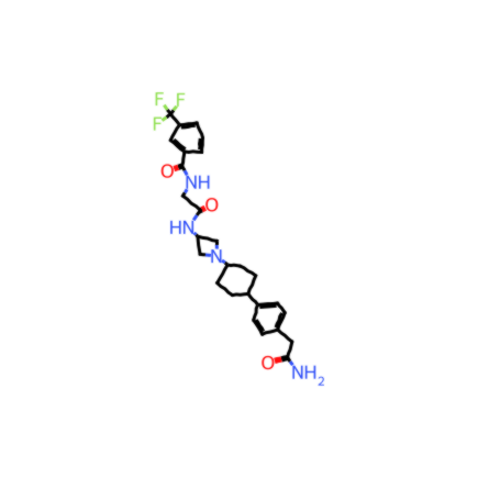 NC(=O)Cc1ccc(C2CCC(N3CC(NC(=O)CNC(=O)c4cccc(C(F)(F)F)c4)C3)CC2)cc1